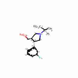 CC(C)[C@@](C)(C(=O)O)N1C[C@H](CO)[C@@H](c2cccc(F)c2)C1